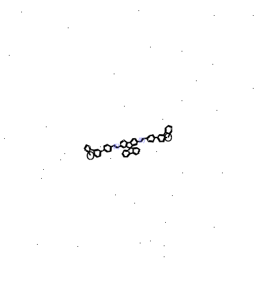 C(=C\c1ccc2c(c1)C1(c3ccccc3-c3ccccc31)c1cc(/C=C/c3ccc(-c4ccc5oc6ccccc6c5c4)cc3)ccc1-2)/c1ccc(-c2ccc3oc4ccccc4c3c2)cc1